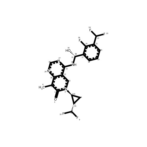 Cc1c(=O)n([C@H]2C[C@@H]2C(F)F)cc2c(N[C@H](O)c3cccc(C(F)F)c3F)ncnc12